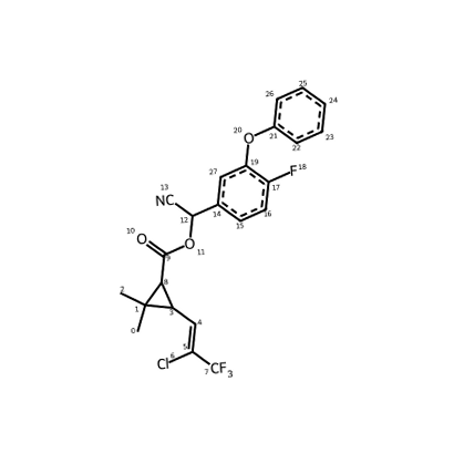 CC1(C)C(/C=C(\Cl)C(F)(F)F)C1C(=O)OC(C#N)c1ccc(F)c(Oc2ccccc2)c1